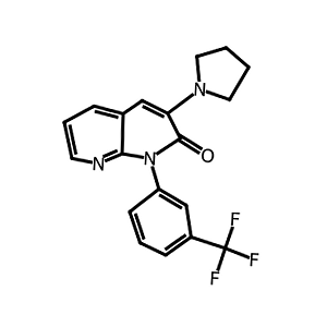 O=c1c(N2CCCC2)cc2cccnc2n1-c1cccc(C(F)(F)F)c1